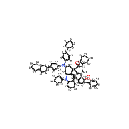 c1ccc(-c2ccc(N(c3ccc(-c4ccc5ccccc5c4)cc3)c3ccc4c(c3)N(c3ccccc3)c3ccccc3[Si]4(c3ccc4c(c3)oc3ccccc34)c3ccc4c(c3)oc3ccccc34)cc2)cc1